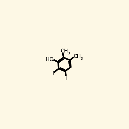 Cc1cc(I)c(I)c(O)c1C